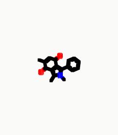 CC1=CC(=O)c2c(c(C)n(C)c2-c2ccccc2)C1=O